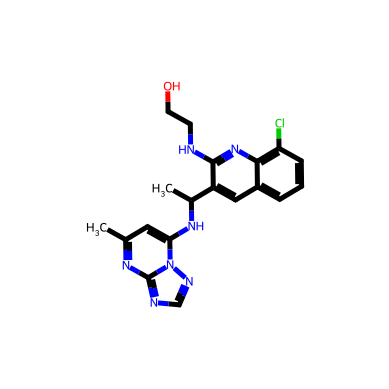 Cc1cc(NC(C)c2cc3cccc(Cl)c3nc2NCCO)n2ncnc2n1